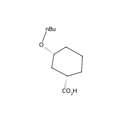 CCCCO[C@@H]1CCC[C@H](C(=O)O)C1